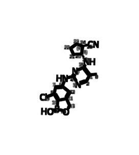 Cc1cnc(Nc2cc(Cl)c3c(c2)COB3O)nc1N[C@@H]1CCC[C@H]1C#N